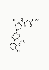 COC(=O)CC(=O)NC1(C)CCN(c2cnc(-c3cccc(Cl)c3Cl)c(N)n2)CC1